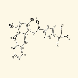 O=C(Oc1c(Br)cc(Br)c2nc3ccccc3nc12)c1ccc(C(F)(F)F)cc1